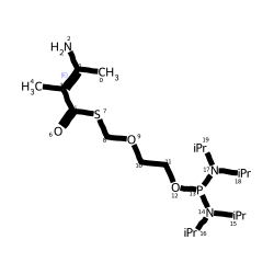 C/C(N)=C(/C)C(=O)SCOCCOP(N(C(C)C)C(C)C)N(C(C)C)C(C)C